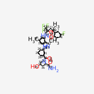 COc1ccc(F)cc1C1(C)CC(CNc2cc(C)cc3c2cnn3-c2cccc(C(=O)N3C[C@H](O)C[C@@H]3C(N)=O)c2)(C(F)(F)F)O1